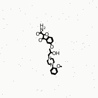 COc1ccccc1N1CCN(CC(O)COc2ccc3c(c2)C(=O)C(C(N)=O)O3)CC1